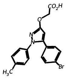 Cc1ccc(-n2nc(OCC(=O)O)cc2-c2ccc(Br)cc2)cc1